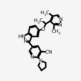 Cc1cnnc(C)c1C(C)Oc1ccc2[nH]nc(-c3cnc(N4CCCC4)c(C#N)c3)c2c1